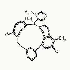 Cn1cncc1[C@]1(N)c2ccc(Cl)c(c2)CCc2cccc(c2)-c2cc(=O)n(C)c3ccc1cc23